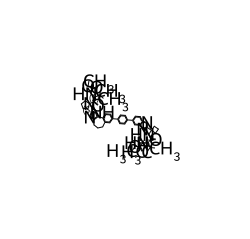 COC(=O)N[C@H](C(=O)NC1(c2nc3ccc(-c4ccc(-c5ccc6c(c5)CCCc5nc([C@@H]7CCCN7C(=O)[C@@H](NC(=O)OC)C(C)C)[nH]c5-6)cc4)cc3[nH]2)CCC1)C(C)C